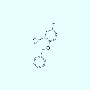 Fc1ccc(OCc2ccccc2)c([C]2CC2)c1